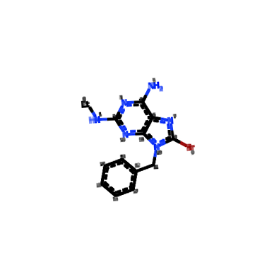 CCNc1nc(N)c2nc(Br)n(Cc3ccccc3)c2n1